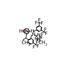 CCC(c1ccc(C(F)(F)F)cc1CN(Cc1cc(C(F)(F)F)cc(C(F)(F)F)c1)c1nnn(C)n1)N1C[C@H]2CC[C@@H](CC2)C1